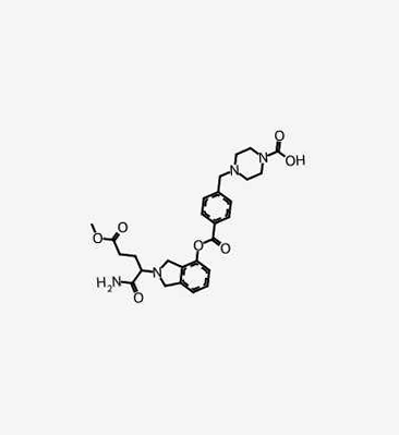 COC(=O)CCC(C(N)=O)N1Cc2cccc(OC(=O)c3ccc(CN4CCN(C(=O)O)CC4)cc3)c2C1